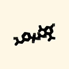 CC(O)Cc1cccc(S(=O)(=O)NC(=O)Nc2c(C(C)C)cc(Cl)cc2C(C)C)c1